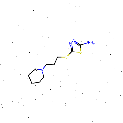 Nc1nnc(SCCCN2CCCCC2)s1